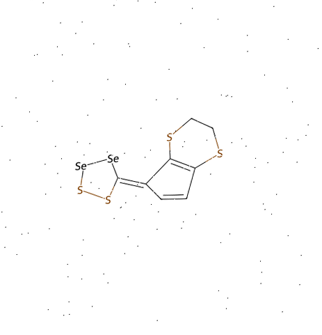 C1=CC(=C2SS[Se][Se]2)C2=C1SCCS2